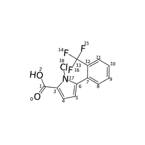 O=C(O)c1ccc(-c2ccccc2C(F)(F)F)n1Cl